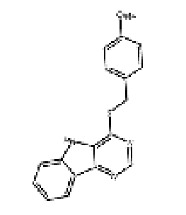 COc1ccc(CSc2ncnc3c2[nH]c2ccccc23)cc1